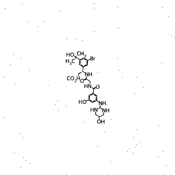 CC(C)(O)c1cc(Br)cc([C@H](CC(=O)O)NC(=O)CNC(=O)c2cc(O)cc(NC3NCC(O)CN3)c2)c1